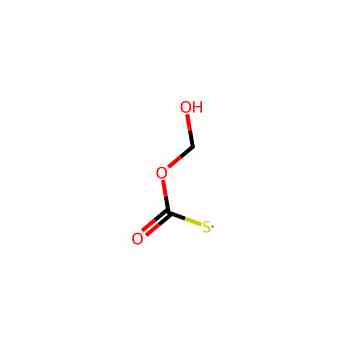 O=C([S])OCO